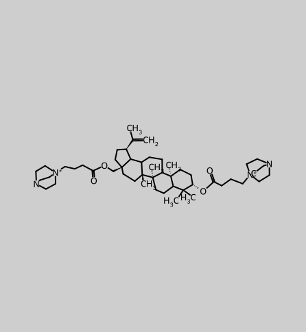 C=C(C)[C@@H]1CC[C@@]2(COC(=O)CCC[N+]34CCN(CC3)CC4)CC[C@]3(C)C(CCC4[C@@]5(C)CC[C@H](OC(=O)CCC[N+]67CCN(CC6)CC7)C(C)(C)C5CC[C@]43C)C12